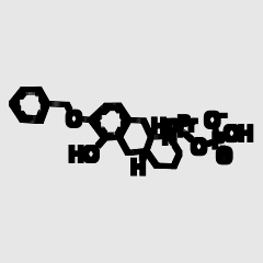 CCC[N@+]1(COP(=O)([O-])O)CCC[C@@H]2Cc3c(ccc(OCc4ccccc4)c3O)C[C@H]21